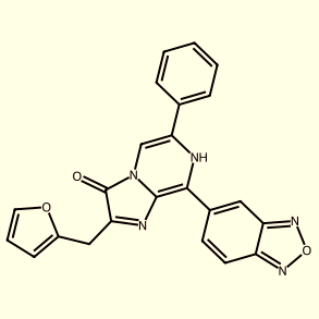 O=c1c(Cc2ccco2)nc2c(-c3ccc4nonc4c3)[nH]c(-c3ccccc3)cn1-2